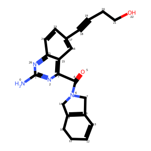 Nc1nc(C(=O)N2CC3=C(CCC=C3)C2)c2cc(C#CCCO)ccc2n1